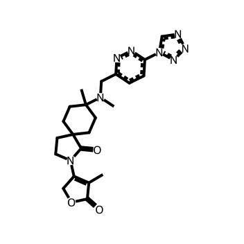 CC1=C(N2CCC3(CCC(C)(N(C)Cc4ccc(-n5cnnn5)nn4)CC3)C2=O)COC1=O